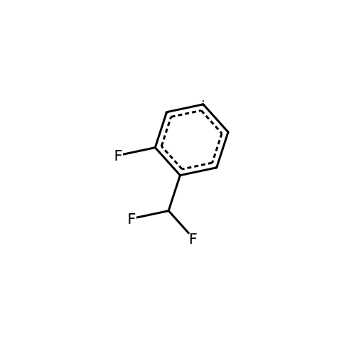 Fc1c[c]ccc1C(F)F